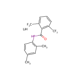 Cc1ccc(PC(=O)c2c(C(F)(F)F)cccc2C(F)(F)F)c(C)c1.[LiH]